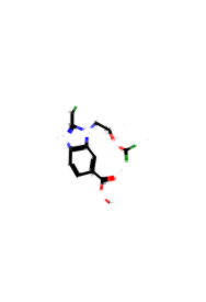 COC(=O)c1ccc2nc(CCl)n(C[C@H](C)OC(F)F)c2c1